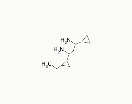 CCC1CC1C(N)CC(N)C1CC1